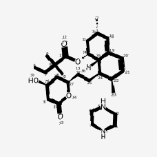 C1CNCCN1.CCC(C)(C)C(=O)O[C@@H]1C[C@H](C)C=C2C=C[C@@H](C)[C@@H](CC[C@@H]3C[C@H](O)CC(=O)O3)[C@@H]21